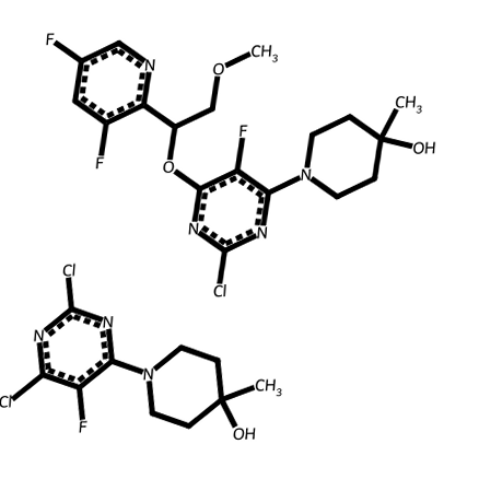 CC1(O)CCN(c2nc(Cl)nc(Cl)c2F)CC1.COCC(Oc1nc(Cl)nc(N2CCC(C)(O)CC2)c1F)c1ncc(F)cc1F